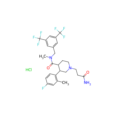 Cc1cc(F)ccc1C1CN(CCC(N)=O)CCC1C(=O)N(C)Cc1cc(C(F)(F)F)cc(C(F)(F)F)c1.Cl